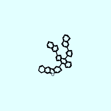 C1=Cc2cc3c(cc2CC1)oc1ccc(-c2c4ccccc4c(-c4cccc(-c5ccc6ccccc6c5)c4)c4cc(-c5ccc6ccccc6c5)ccc24)cc13